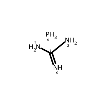 N=C(N)N.P